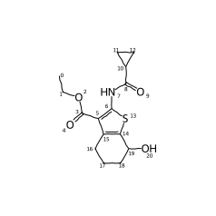 CCOC(=O)c1c(NC(=O)C2CC2)sc2c1CCCC2O